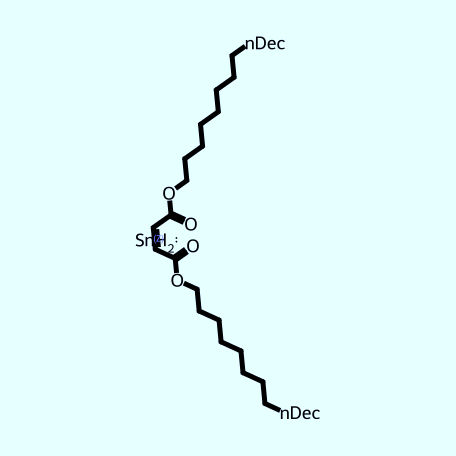 CCCCCCCCCCCCCCCCCCOC(=O)/C=C\C(=O)OCCCCCCCCCCCCCCCCCC.[SnH2]